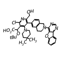 CC1(C)CCN(c2c(-c3ccc4c(c3)CCN(c3ncnc5c3oc3ccccc35)C4)c(CO)nc(Cl)c2C(OC(C)(C)C)C(=O)O)CC1